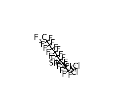 FC(F)(F)C(F)(F)C(F)(F)C(F)(F)C(F)(F)C(F)(F)C(F)(F)C(F)(F)C(F)(F)C(F)(F)[Si](Cl)(Cl)Cl.[SiH4]